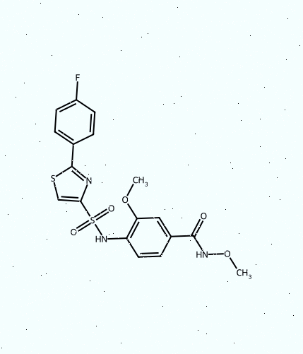 CONC(=O)c1ccc(NS(=O)(=O)c2csc(-c3ccc(F)cc3)n2)c(OC)c1